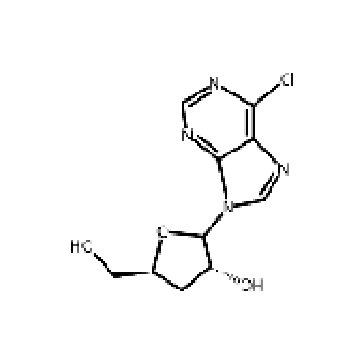 OC[C@@H]1C[C@@H](O)C(n2cnc3c(Cl)ncnc32)O1